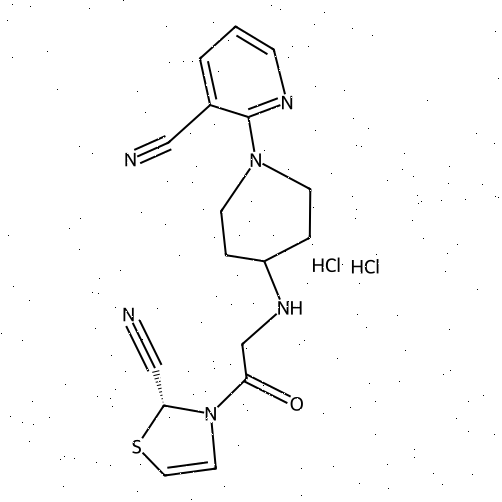 Cl.Cl.N#Cc1cccnc1N1CCC(NCC(=O)N2C=CS[C@@H]2C#N)CC1